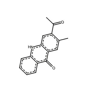 CC(=O)c1cc2[nH]c3ccccc3c(=O)c2cc1C